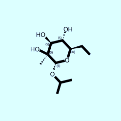 CC[C@H]1O[C@H](OC(C)C)[C@@](C)(O)[C@@H](O)[C@@H]1O